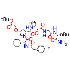 CCCCC(NC(=O)CNC(=O)C(=O)C(CCC)NC(=O)C1C[C@@H](OCC(=O)OC(C)(C)C)CN1C(=O)C(NC(=O)Cc1ccc(F)cc1)C1CCCCC1)C(N)=O